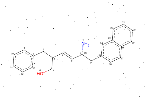 N[C@@H](C=CC(CO)Cc1ccccc1)Cc1ccc2ccccc2c1